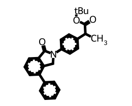 CC(C(=O)OC(C)(C)C)c1ccc(N2Cc3c(cccc3-c3ccccc3)C2=O)cc1